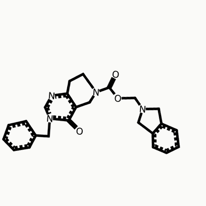 O=C(OCN1Cc2ccccc2C1)N1CCc2ncn(Cc3ccccc3)c(=O)c2C1